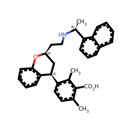 Cc1ccc([C@@H]2C[C@H](CCN[C@H](C)c3cccc4ccccc34)Oc3ccccc32)c(C)c1C(=O)O